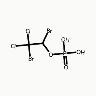 O=P(O)(O)OC(Br)C(Cl)(Cl)Br